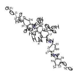 Cc1cc(/N=N/c2cc(S(=O)(=O)O)c3cc(S(=O)(=O)O)c(/N=N/c4ccc(NC(=O)CCOC=O)cc4[N+](=O)[O-])c(O)c3c2N)ccc1/N=N/c1cccc(OC=O)c1